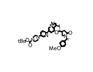 COc1ccc([C@@H](C)N2CC([C@@H](C)Oc3cc(-c4ccc(N5CCN(C(=O)OC(C)(C)C)CC5)cn4)cn4ncc(I)c34)CC2=O)cc1